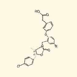 C[C@H]1[C@@H](c2ccc(Cl)cc2)OC(=O)N1Cc1cc(Br)ccc1Oc1cccc(CC(=O)O)c1